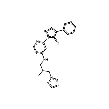 CC(CNc1cc(-n2[nH]cc(-c3cccnc3)c2=O)ncn1)Cn1cccn1